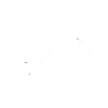 CO[C@@H]1CN(c2ccc(C#C[C@@]3(O)CN4CCC3CC4)c(Cc3ccccc3)n2)C(=O)[C@@H]1OC